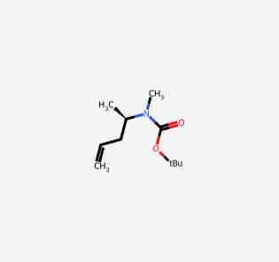 C=CC[C@@H](C)N(C)C(=O)OC(C)(C)C